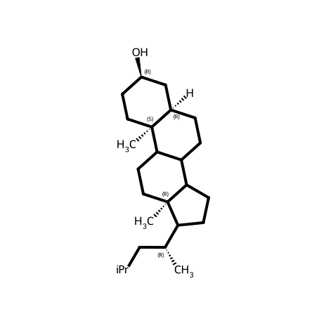 CC(C)C[C@@H](C)C1CCC2C3CC[C@@H]4C[C@H](O)CC[C@]4(C)C3CC[C@@]21C